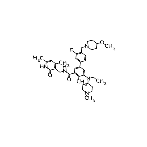 CCN(c1cc(-c2ccc(CN3CCC(OC)CC3)c(F)c2)cc(C(=O)NCc2c(C)cc(C)[nH]c2=O)c1C)C1CCN(C)CC1